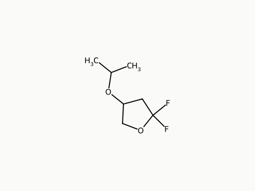 CC(C)OC1COC(F)(F)C1